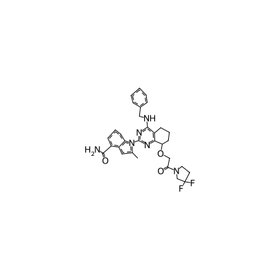 Cc1cc2c(C(N)=O)cccc2n1-c1nc(NCc2ccccc2)c2c(n1)C(OCC(=O)N1CCC(F)(F)C1)CCC2